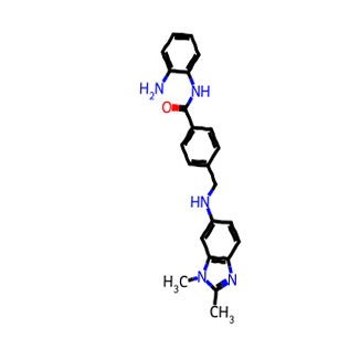 Cc1nc2ccc(NCc3ccc(C(=O)Nc4ccccc4N)cc3)cc2n1C